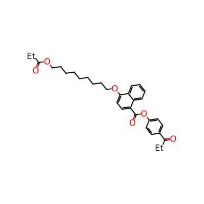 CCC(=O)OCCCCCCCCCOc1ccc(C(=O)Oc2ccc(C(=O)CC)cc2)c2ccccc12